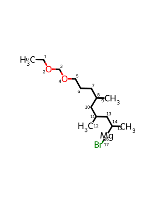 CCOCOCCCC(C)CC(C)C[CH](C)[Mg][Br]